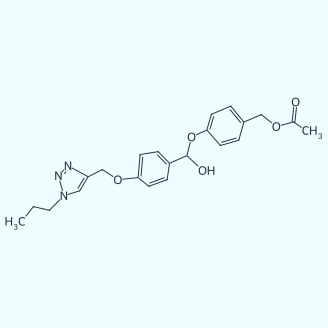 CCCn1cc(COc2ccc(C(O)Oc3ccc(COC(C)=O)cc3)cc2)nn1